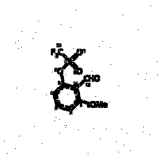 COc1cccc(OS(=O)(=O)C(F)(F)F)c1C=O